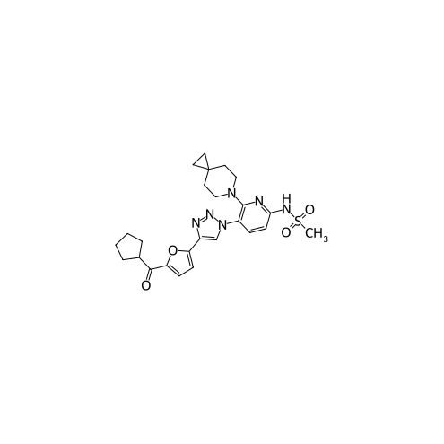 CS(=O)(=O)Nc1ccc(-n2cc(-c3ccc(C(=O)C4CCCC4)o3)nn2)c(N2CCC3(CC2)CC3)n1